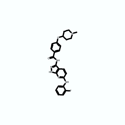 CN1CCC(Oc2ccc(C(=O)Nc3n[nH]c4nc(Nc5ccccc5F)ccc34)cc2)CC1